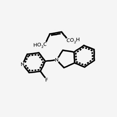 Fc1cnccc1N1Cc2ccccc2C1.O=C(O)/C=C\C(=O)O